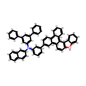 c1ccc(-c2cc(-c3ccccc3)cc(N(c3cccc(-c4ccc5c6ccccc6c6c(ccc7oc8ccccc8c76)c5c4)c3)c3ccc4ccccc4c3)c2)cc1